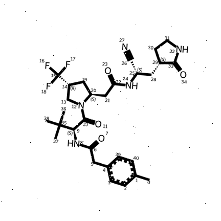 Cc1ccc(CC(=O)N[C@H](C(=O)N2C[C@H](C(F)(F)F)C[C@H]2CC(=O)N[C@H](C#N)C[C@@H]2CCNC2=O)C(C)(C)C)cc1